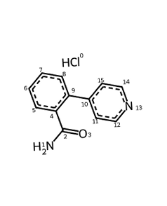 Cl.NC(=O)c1ccccc1-c1ccncc1